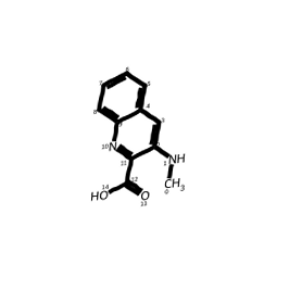 CNc1cc2ccccc2nc1C(=O)O